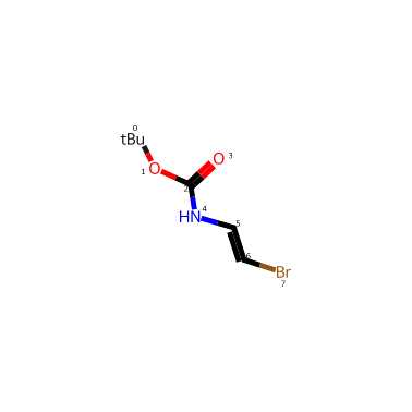 CC(C)(C)OC(=O)N/C=C/Br